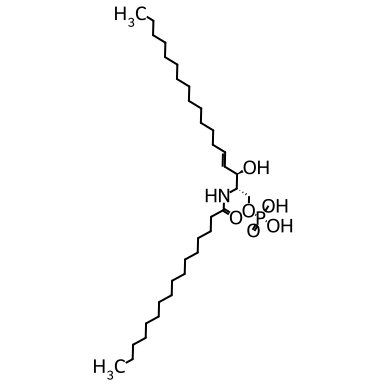 CCCCCCCCCCCCC/C=C/[C@@H](O)[C@H](COP(=O)(O)O)NC(=O)CCCCCCCCCCCCCCC